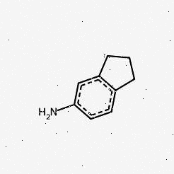 Nc1ccc2c(c1)[C]CC2